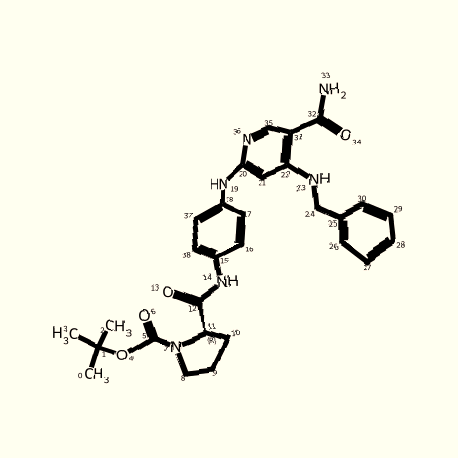 CC(C)(C)OC(=O)N1CCC[C@@H]1C(=O)Nc1ccc(Nc2cc(NCc3ccccc3)c(C(N)=O)cn2)cc1